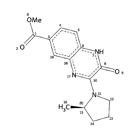 COC(=O)c1ccc2[nH]c(=O)c(N3CCC[C@H]3C)nc2c1